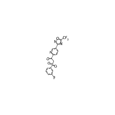 O=C(CS(=O)(=O)c1cccc(F)c1)c1ccc(-c2noc(C(F)(F)F)n2)cn1